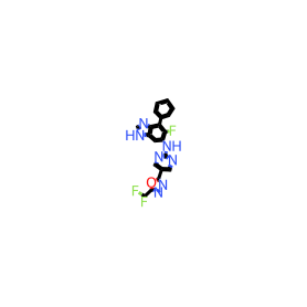 Fc1c(Nc2ncc(-c3nnc(C(F)F)o3)cn2)cc2[nH]cnc2c1-c1ccccc1